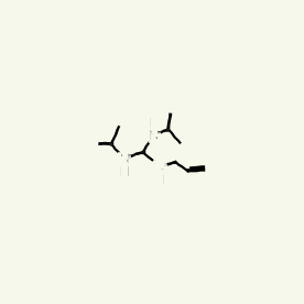 C=CC[SiH2]C(NC(C)C)NC(C)C